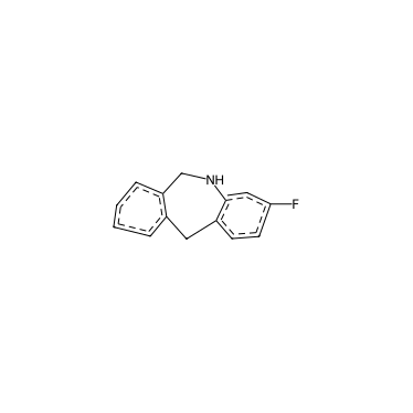 Fc1ccc2c(c1)NCc1ccccc1C2